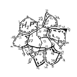 CCC(c1ccccc1)C(P)(c1ccccc1)P(C(P)(c1ccccc1)C(CC)c1ccccc1)C(P)(c1ccccc1)C(CC)c1ccccc1